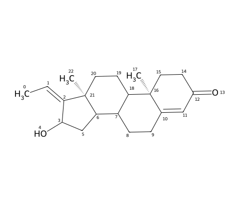 CC=C1C(O)CC2C3CCC4=CC(=O)CC[C@]4(C)C3CC[C@]12C